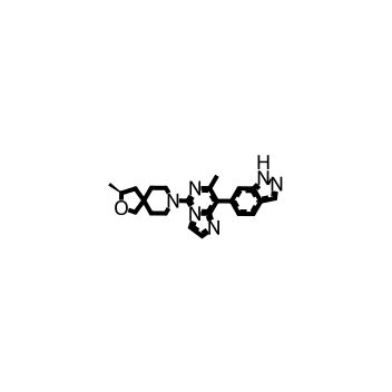 Cc1nc(N2CCC3(CC2)CO[C@@H](C)C3)n2ccnc2c1-c1ccc2cn[nH]c2c1